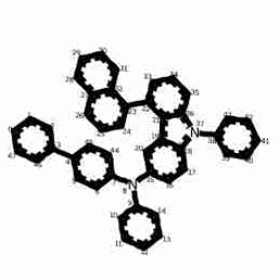 c1ccc(-c2ccc(N(c3ccccc3)c3ccc4c(c3)c3c(-c5cccc6ccccc56)cccc3n4-c3ccccc3)cc2)cc1